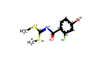 CSC(=NC(=O)c1ccc(Br)cc1F)SC